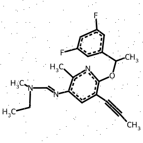 CC#Cc1cc(/N=C/N(C)CC)c(C)nc1OC(C)c1cc(F)cc(F)c1